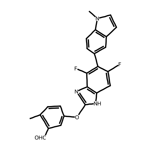 Cc1ccc(Oc2nc3c(F)c(-c4ccc5c(ccn5C)c4)c(F)cc3[nH]2)cc1C=O